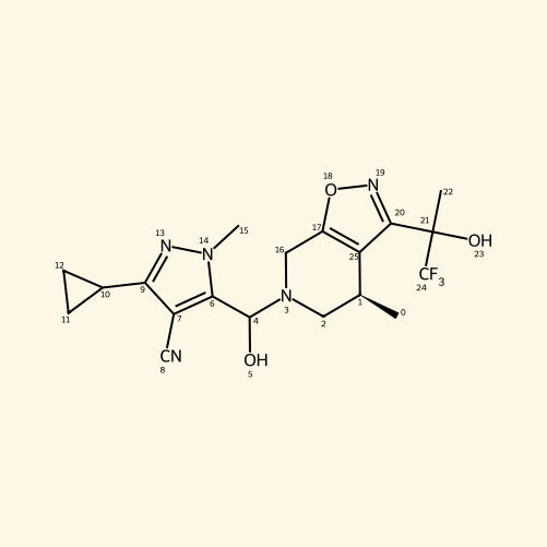 C[C@H]1CN(C(O)c2c(C#N)c(C3CC3)nn2C)Cc2onc(C(C)(O)C(F)(F)F)c21